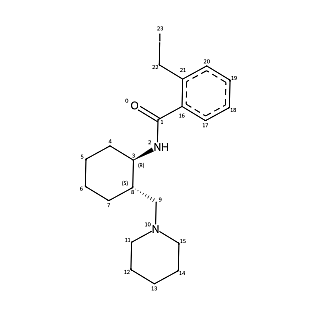 O=C(N[C@@H]1CCCC[C@H]1CN1CCCCC1)c1ccccc1CI